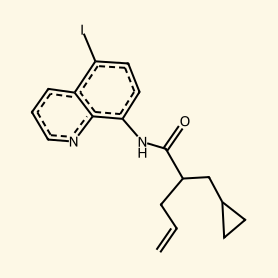 C=CCC(CC1CC1)C(=O)Nc1ccc(I)c2cccnc12